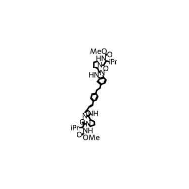 COC(=O)NC(C(=O)N1CCCC1c1ncc(/C=C/c2ccc(CCc3ccc4nc(C5CCCN5C(=O)C(NC(=O)OC)C(C)C)[nH]c4c3)cc2)[nH]1)C(C)C